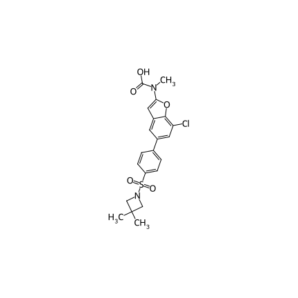 CN(C(=O)O)c1cc2cc(-c3ccc(S(=O)(=O)N4CC(C)(C)C4)cc3)cc(Cl)c2o1